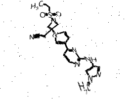 CCS(=O)(=O)N1CC(CC#N)(n2ccc(-c3ccnc(Nc4cnn(C)c4)n3)c2)C1